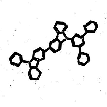 C1=Cc2c(c3cc(-c4ccc5c(c4)c4ccccc4n5-c4cc(-c5ccccc5)cc(-c5ccccc5)c4)ccc3n2-c2ccccc2)CC1